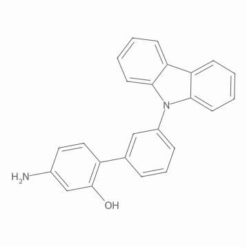 Nc1ccc(-c2cccc(-n3c4ccccc4c4ccccc43)c2)c(O)c1